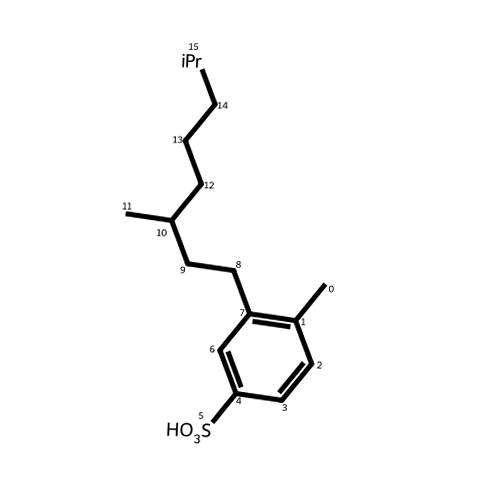 Cc1ccc(S(=O)(=O)O)cc1CCC(C)CCCC(C)C